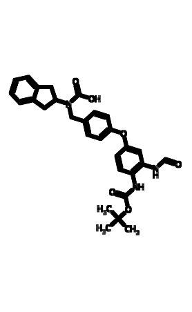 CC(C)(C)OC(=O)Nc1ccc(Oc2ccc(CN(C(=O)O)C3Cc4ccccc4C3)cc2)cc1NC=O